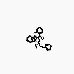 CCOC(=O)C1(CC=C=Cc2ccccc2)C(=O)c2ccccc2OC1c1ccccc1